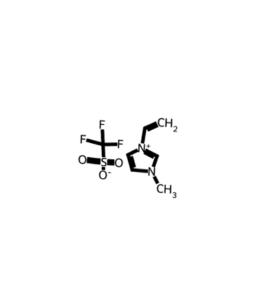 C=C[n+]1ccn(C)c1.O=S(=O)([O-])C(F)(F)F